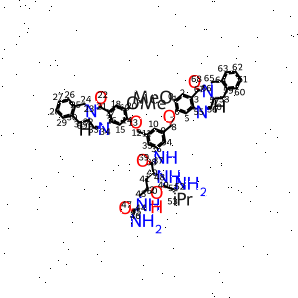 COc1cc2c(cc1OCc1cc(COc3cc4c(cc3OC)C(=O)N3Cc5ccccc5C[C@H]3C=N4)cc(NC(=O)[C@H](CCCNC(N)=O)NC(O)[C@@H](N)C(C)C)c1)N=C[C@@H]1Cc3ccccc3CN1C2=O